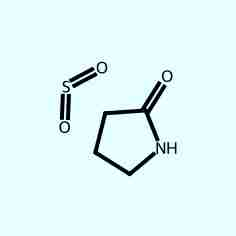 O=C1CCCN1.O=S=O